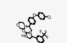 O=C1NCC(c2cccc(C(F)(F)F)c2)N1CC(c1ccc(Oc2ccc(Cl)cc2)cc1)N1CCOCC1